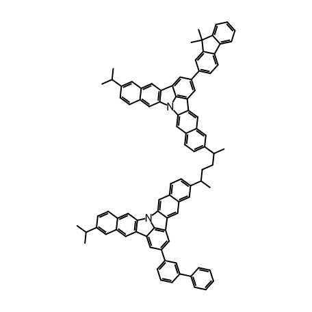 CC(C)c1ccc2cc3c(cc2c1)c1cc(-c2cccc(-c4ccccc4)c2)cc2c4cc5cc(C(C)CCC(C)c6ccc7cc8c(cc7c6)c6cc(-c7ccc9c(c7)C(C)(C)c7ccccc7-9)cc7c9cc%10cc(C(C)C)ccc%10cc9n8c76)ccc5cc4n3c12